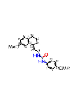 COc1ccc(NC(=O)NCC=C2CCCc3ccc(OC)cc32)cc1